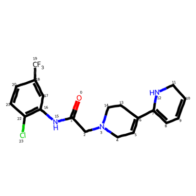 O=C(CN1CC=C(C2=CC=CCN2)CC1)Nc1cc(C(F)(F)F)ccc1Cl